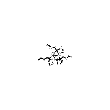 CCOCC(OC)(OC)OP(=O)(OC(COCC)(OC)OC)OC(COCC)(OC)OC